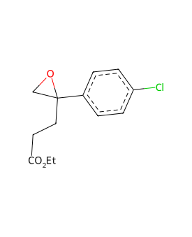 CCOC(=O)CCC1(c2ccc(Cl)cc2)CO1